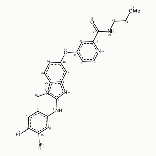 CCc1ccc(Nc2nc3cc(Oc4ccnc(C(=O)NCCOC)c4)ccc3n2C)cc1C(C)C